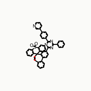 O=S1(=O)c2ccccc2C2(c3ccccc3-c3ccccc3-c3ccc(-c4nc(-c5ccccc5)nc(-c5ccc(-c6cccnc6)cc5)n4)cc32)c2ccccc21